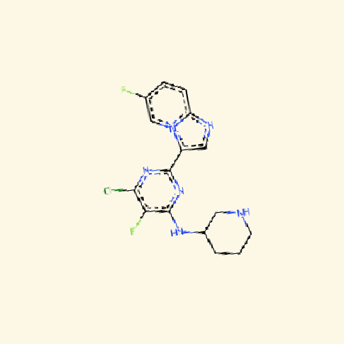 Fc1ccc2ncc(-c3nc(Cl)c(F)c(NC4CCCNC4)n3)n2c1